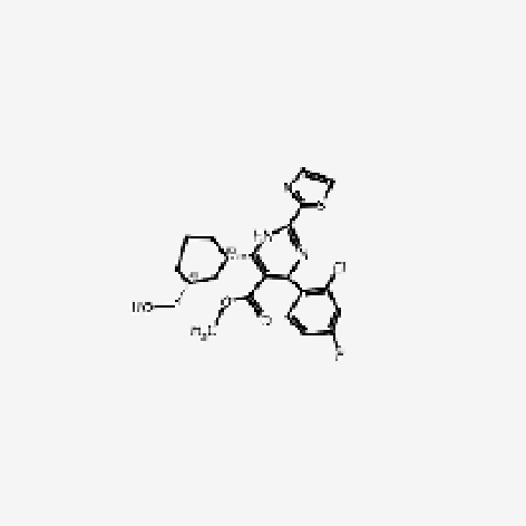 COC(=O)C1=C([C@H]2CCC[C@@H](CO)C2)NC(c2nccs2)=NC1c1ccc(F)cc1Cl